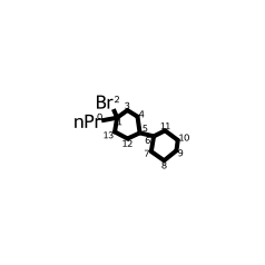 CCCC1(Br)CCC(C2CCCCC2)CC1